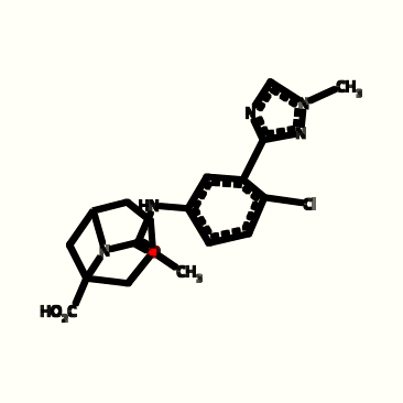 CC1CCC2CC(C(=O)O)(C1)N2C(=O)Nc1ccc(Cl)c(-c2ncn(C)n2)c1